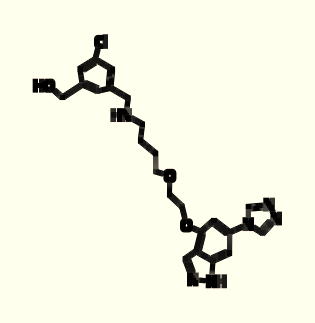 OCc1cc(Cl)cc(CNCCCCOCCOc2cc(-n3cnnc3)cc3[nH]ncc23)c1